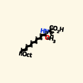 CCCCCCCCC=CCCCCCCCC(=O)NC(C)C(=O)O